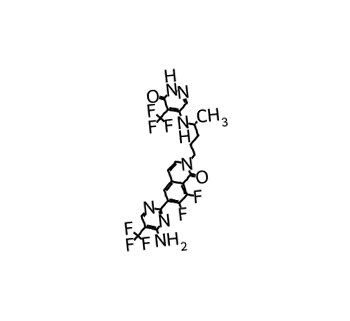 C[C@@H](CCCn1ccc2cc(-c3ncc(C(F)(F)F)c(N)n3)c(F)c(F)c2c1=O)Nc1cn[nH]c(=O)c1C(F)(F)F